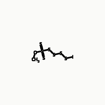 COS(=S)(=S)SSSSI